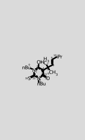 CCCCn1c(O)c(C(C)(C)C=CC(C)C)c(=O)n(CCCC)c1=S